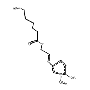 CCCCCCCCCCCCCCCC(=O)OCC=Cc1ccc(O)c(OC)c1